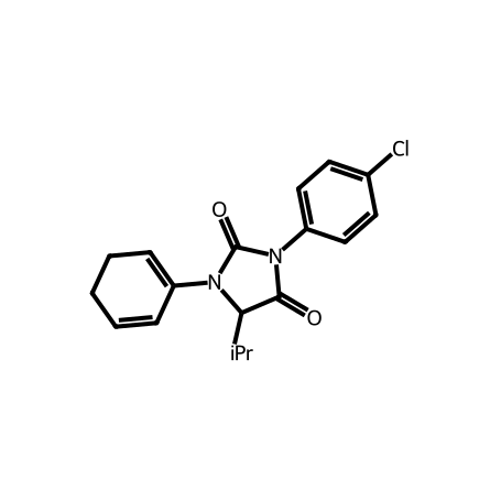 CC(C)C1C(=O)N(c2ccc(Cl)cc2)C(=O)N1C1=CCCC=C1